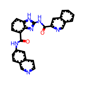 O=C(Nc1nc2c(C(=O)Nc3ccc4cnccc4c3)cccc2[nH]1)c1cc2ccccc2cn1